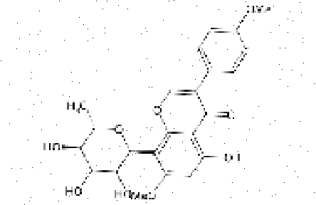 COc1ccc(-c2coc3c([C@@H]4O[C@@H](C)[C@H](O)C(O)C4O)c(OC)cc(O)c3c2=O)cc1